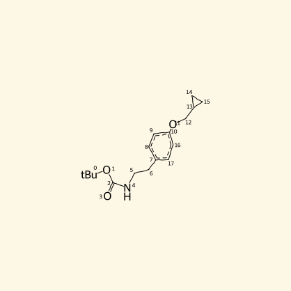 CC(C)(C)OC(=O)NCCc1ccc(OCC2CC2)cc1